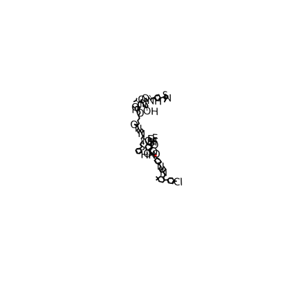 Cc1ncsc1-c1ccc([C@H](C)NC(=O)[C@@H]2C[C@@H](O)CN2C(=O)[C@@H](c2cc(OCCCCC(=O)N3CCN(CC[C@H](CSc4ccccc4)Nc4ccc(S(=O)(=O)NC(=O)c5ccc(N6CCN(CC7=C(c8ccc(Cl)cc8)CCC(C)(C)C7)CC6)cc5)cc4S(=O)(=O)C(F)(F)F)CC3)no2)C(C)C)cc1